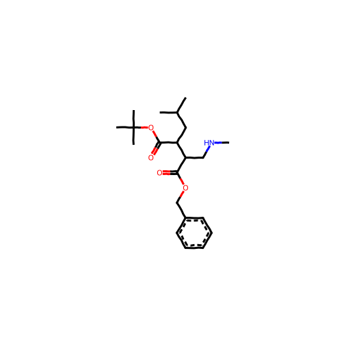 CNCC(C(=O)OCc1ccccc1)C(CC(C)C)C(=O)OC(C)(C)C